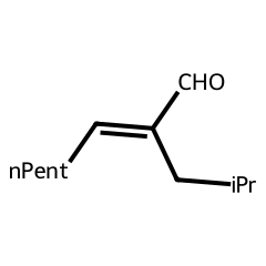 CCCCCC=C(C=O)CC(C)C